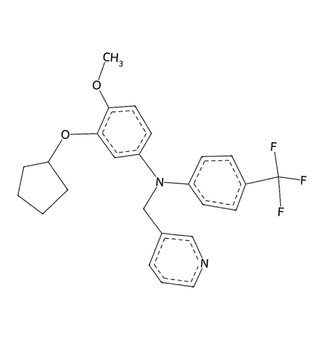 COc1ccc(N(Cc2cccnc2)c2ccc(C(F)(F)F)cc2)cc1OC1CCCC1